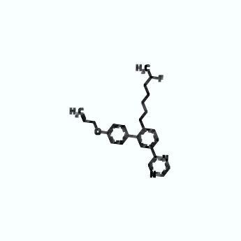 C=CCOc1ccc(-c2cc(-c3cnccn3)ccc2CCCCCC(C)F)cc1